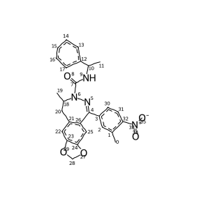 Cc1cc(C2=NN(C(=O)NC(C)c3ccccc3)C(C)Cc3cc4c(cc32)OCO4)ccc1[N+](=O)[O-]